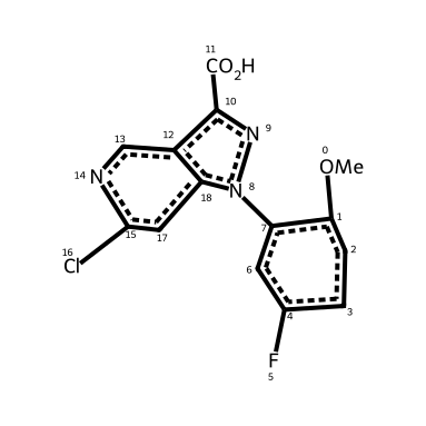 COc1ccc(F)cc1-n1nc(C(=O)O)c2cnc(Cl)cc21